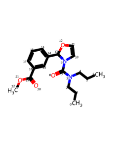 CCCN(CCC)C(=O)N1C=COC1c1cccc(C(=O)OC)c1